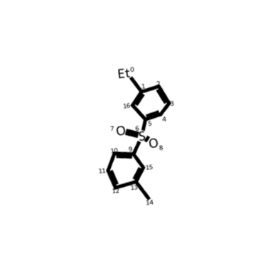 CCc1cccc(S(=O)(=O)c2cccc(C)c2)c1